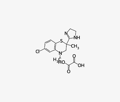 CN1CC(C)(C2=NCCN2)Sc2ccc(Cl)cc21.O=C(O)C(=O)O